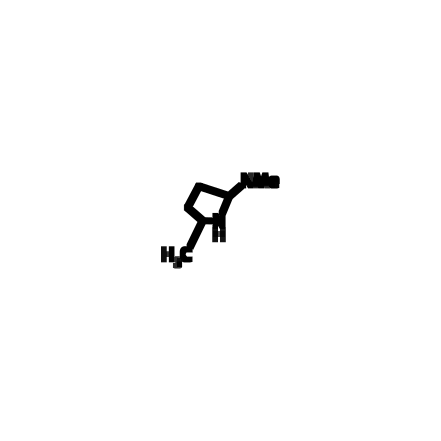 CNC1CCC(C)N1